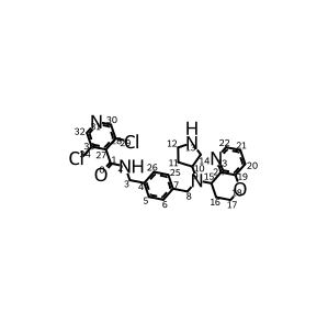 O=C(NCc1ccc(CN(C2CCNC2)C2CCOc3cccnc32)cc1)c1c(Cl)cncc1Cl